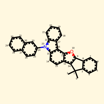 CC1(C)c2ccccc2-c2oc3c(ccc4c3c3ccccc3n4-c3ccc4ccccc4c3)c21